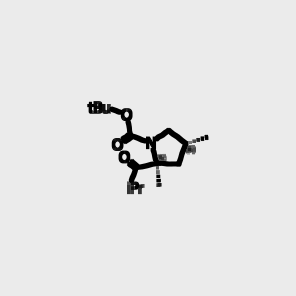 CC(C)C(=O)[C@]1(C)C[C@@H](C)CN1C(=O)OC(C)(C)C